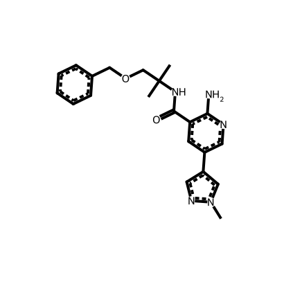 Cn1cc(-c2cnc(N)c(C(=O)NC(C)(C)COCc3ccccc3)c2)cn1